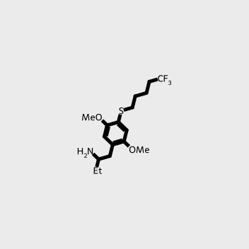 CCC(N)Cc1cc(OC)c(SCCCCC(F)(F)F)cc1OC